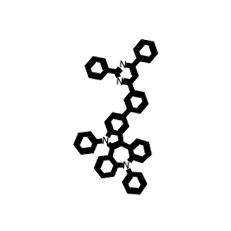 C1=CC2c3c(c4cc(-c5cccc(-c6cc(-c7ccccc7)nc(-c7ccccc7)n6)c5)ccc4n3-c3ccccc3)-c3ccccc3N(c3ccccc3)C2CC1